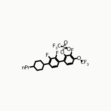 CCCC1CCC(c2ccc(-c3ccc(OC(F)(F)F)c(F)c3OS(=O)(=O)C(F)(F)F)c(F)c2F)CC1